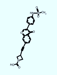 CS(=O)(=O)Nc1ccc(-c2coc3cc(C#CC4CN(C(=O)O)C4)ccc3c2=O)cc1